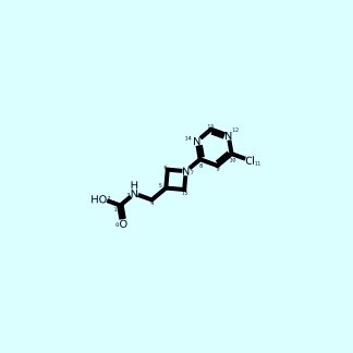 O=C(O)NCC1CN(c2cc(Cl)ncn2)C1